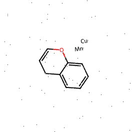 C1=COc2ccccc2C1.[Cu].[Mn]